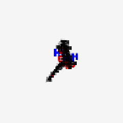 CCCCCCCCCCCCCCCC(=O)Nc1cc(NS(=O)(=O)c2c(C(C)C)cc(C(C)C)cc2C(C)C)ccc1Nc1cc(OC)c(OC)c(OC)c1